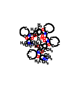 CC1(C)CC2(CC(C)(C)N1)OC1(CCCCCCCCCCC1)N(CC(O)CC1C(C)(C)CC3(CC1(C)C)OC1(CCCCCCCCCCC1)N(CC(O)CN1C(=O)C4(CC(C)(C)C(CC(O)CN5C(=O)C6(CC(C)(C)NC(C)(C)C6)OC56CCCCCCCCCCC6)C(C)(C)C4)OC14CCCCCCCCCCC4)C3=O)C2=O